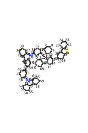 c1ccc([Si](c2ccccc2)(c2cccc(-c3ccc4sc5ccccc5c4c3)c2)c2cccc(-n3c4ccccc4c4cc(-c5cccc(-n6c7ccccc7c7ccccc76)c5)ccc43)c2)cc1